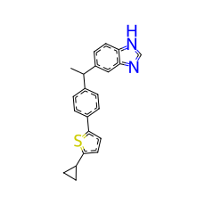 CC(c1ccc(-c2ccc(C3CC3)s2)cc1)c1ccc2[nH]cnc2c1